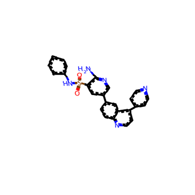 Nc1ncc(-c2ccc3nccc(-c4ccncc4)c3c2)cc1S(=O)(=O)Nc1ccccc1